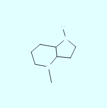 CCN1CCC2C1CCCN2C